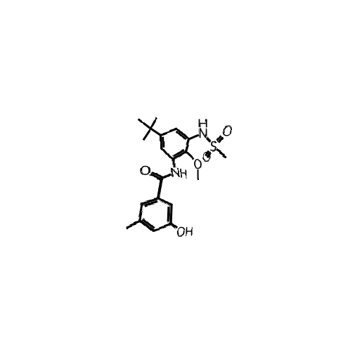 COc1c(NC(=O)c2cc(C)cc(O)c2)cc(C(C)(C)C)cc1NS(C)(=O)=O